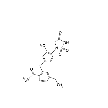 CCc1ccc(C(N)=O)c(Cc2ccc(N3CC(=O)NS3(=O)=O)c(O)c2)c1